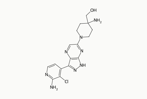 Nc1nccc(-c2n[nH]c3nc(N4CCC(N)(CO)CC4)cnc23)c1Cl